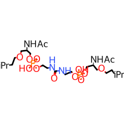 CC(=O)N[C@H](COCCC(C)C)COP(=O)(O)OCCNC(=O)NCCOP(=O)(O)OC[C@@H](COCCC(C)C)NC(C)=O